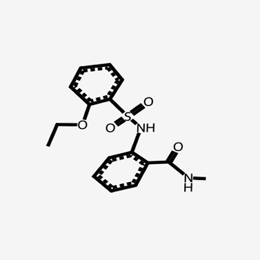 CCOc1ccccc1S(=O)(=O)Nc1ccccc1C(=O)NC